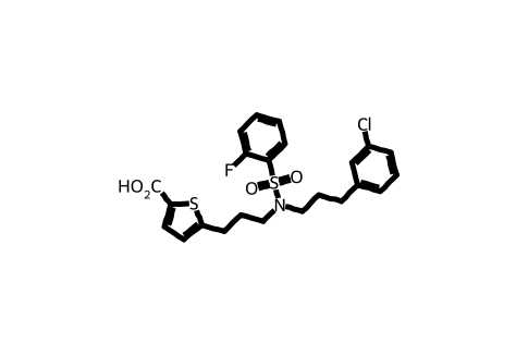 O=C(O)c1ccc(CCCN(CCCc2cccc(Cl)c2)S(=O)(=O)c2ccccc2F)s1